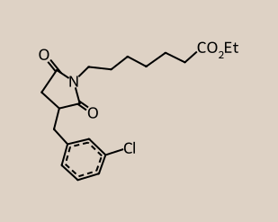 CCOC(=O)CCCCCCN1C(=O)CC(Cc2cccc(Cl)c2)C1=O